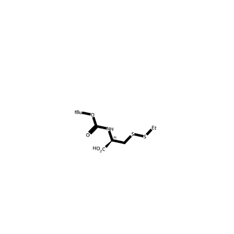 CCSSC[C@H](NC(=O)OC(C)(C)C)C(=O)O